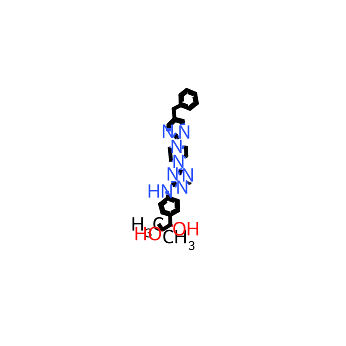 CC(C)(O)[C@H](O)c1ccc(Nc2ncnc(N3CCN(c4ncc(Cc5ccccc5)cn4)CC3)n2)cc1